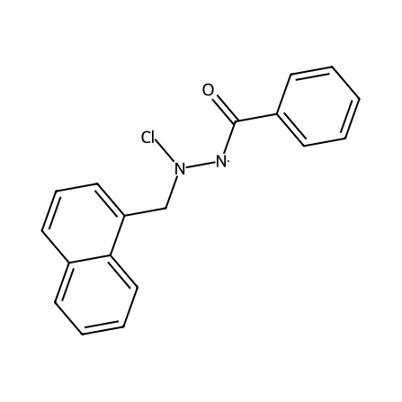 O=C([N]N(Cl)Cc1cccc2ccccc12)c1ccccc1